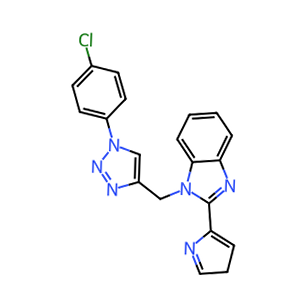 Clc1ccc(-n2cc(Cn3c(C4=CCC=N4)nc4ccccc43)nn2)cc1